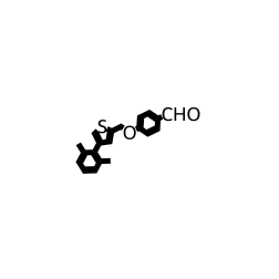 Cc1cccc(C)c1-c1csc(COc2ccc(C=O)cc2)c1